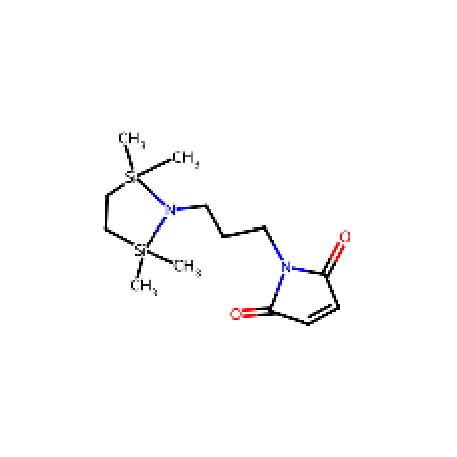 C[Si]1(C)CC[Si](C)(C)N1CCCN1C(=O)C=CC1=O